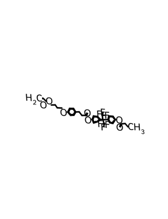 C=CC(=O)OCCCCOc1ccc(CCC(=O)Oc2ccc(C(c3ccc(OC(=O)CCC)cc3)(C(F)(F)F)C(F)(F)F)cc2)cc1